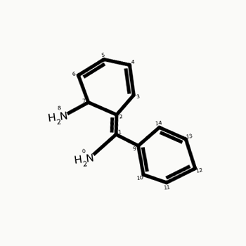 N/C(=C1/C=CC=CC1N)c1ccccc1